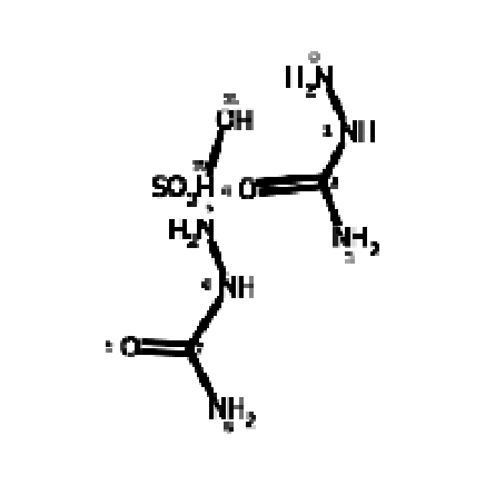 NNC(N)=O.NNC(N)=O.O=S(=O)(O)O